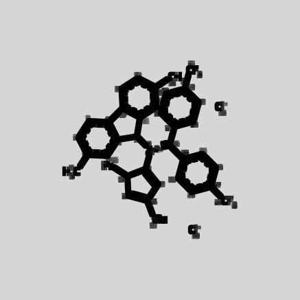 Cc1ccc2c(c1)[CH]([Zr+2]([C]1=CC(C(C)(C)C)=CC1C(C)C)=[C](c1ccc(C(F)(F)F)cc1)c1ccc(C(F)(F)F)cc1)c1cc(C)ccc1-2.[Cl-].[Cl-]